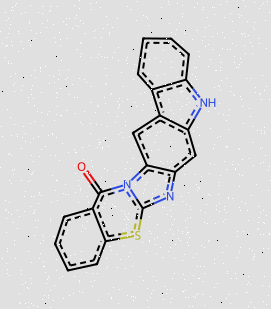 O=c1c2ccccc2sc2nc3cc4[nH]c5ccccc5c4cc3n12